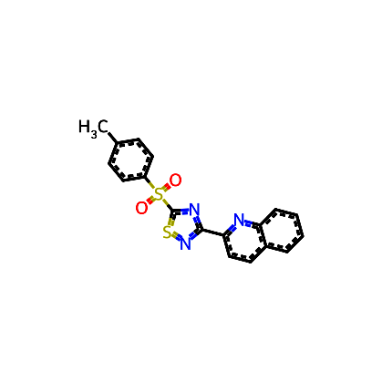 Cc1ccc(S(=O)(=O)c2nc(-c3ccc4ccccc4n3)ns2)cc1